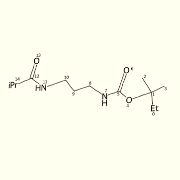 CCC(C)(C)OC(=O)NCCCNC(=O)C(C)C